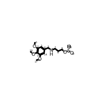 COc1cc(CNCCCO[SH](=O)=O)cc(OC)c1OC